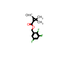 CC1(C)C(C=O)C1C(=O)OCc1cc(F)cc(F)c1F